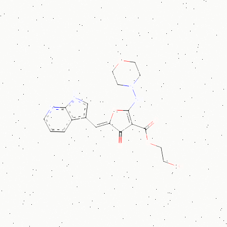 O=C(OCCO)C1=C(NN2CCOCC2)O/C(=C\c2c[nH]c3ncccc23)C1=O